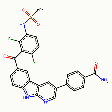 CCCS(=O)(=O)Nc1ccc(F)c(C(=O)c2ccc3[nH]c4ncc(-c5ccc(C(N)=O)cc5)cc4c3c2)c1F